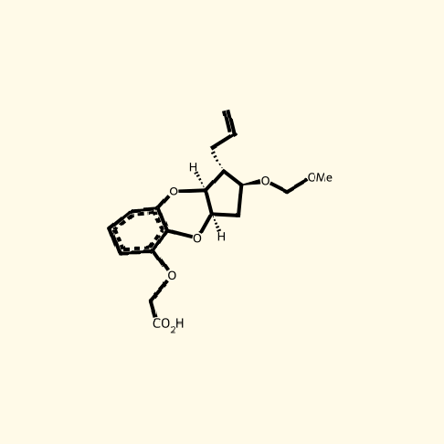 C=CC[C@H]1[C@@H]2Oc3cccc(OCC(=O)O)c3O[C@@H]2C[C@@H]1OCOC